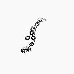 O=C(CO)N1CCN(c2ncc3cc(-c4ccccc4)c(-c4ccc(CN5CCC(c6nnc(-c7ccccn7)[nH]6)CC5)cc4)nc3n2)CC1